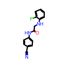 N#Cc1ccc(NC(=O)CNc2ccccc2F)cc1